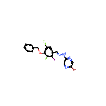 Fc1cc(C=NNc2cnc(Br)cn2)c(I)c(F)c1OCc1ccccc1